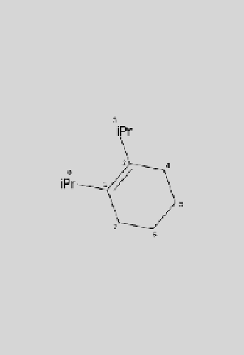 CC(C)C1=C(C(C)C)CCCC1